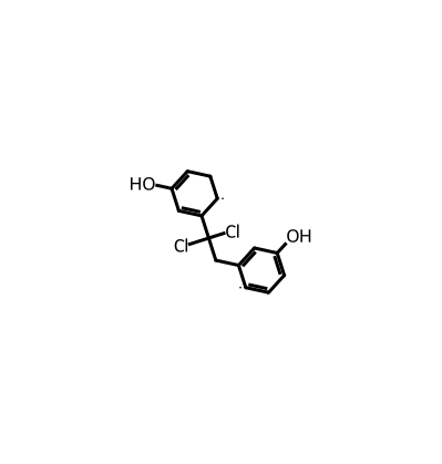 OC1=CC[CH]C(C(Cl)(Cl)Cc2[c]ccc(O)c2)=C1